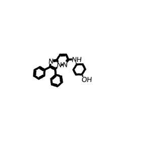 O[C@H]1CC[C@H](Nc2ccc3nc(-c4ccccc4)c(-c4ccccc4)n3n2)CC1